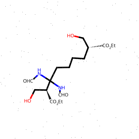 CCOC(=O)[C@@H](CO)CCCCC(NC=O)(NC=O)[C@H](CO)C(=O)OCC